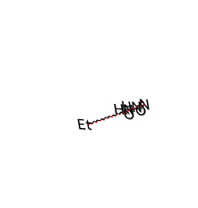 CCC=CCC=CCC=CCC=CCC=CCC=CCCC(=O)NCCCNC(=O)c1cccnc1